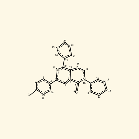 Cc1ccc(-c2cc3c(=O)n(-c4cccnc4)cnc3c(-c3cccnc3)n2)cn1